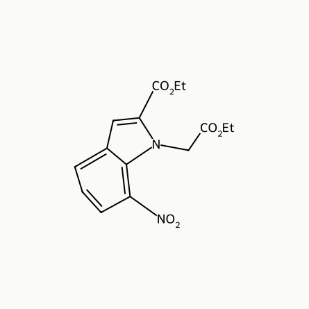 CCOC(=O)Cn1c(C(=O)OCC)cc2cccc([N+](=O)[O-])c21